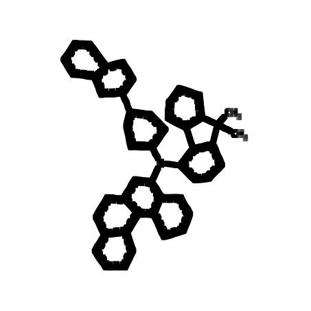 CC1(C)c2ccccc2-c2c(N(c3ccc(-c4ccc5ccccc5c4)cc3)c3cc4ccc5ccccc5c4c4ccccc34)cccc21